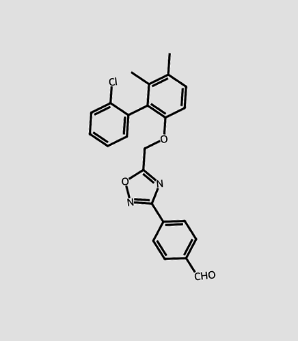 Cc1ccc(OCc2nc(-c3ccc(C=O)cc3)no2)c(-c2ccccc2Cl)c1C